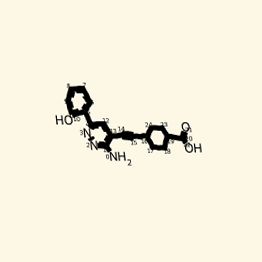 Nc1nnc(-c2ccccc2O)cc1C#CC1CCC(C(=O)O)CC1